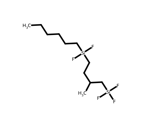 CCCCCC[Si](F)(F)CCC(C)C[Si](F)(F)F